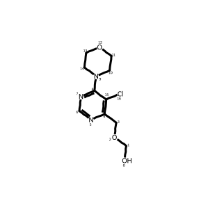 OCOCc1ncnc(N2CCOCC2)c1Cl